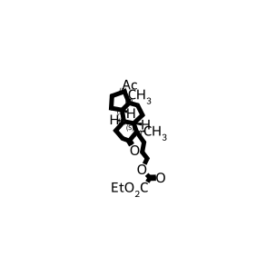 CCOC(=O)C(=O)OCCC[C@@]1(C)C(=O)CC[C@H]2[C@@H]3CC[C@H](C(C)=O)[C@@]3(C)CC[C@@H]21